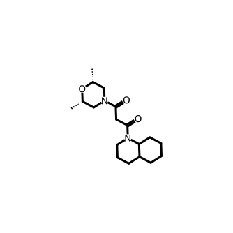 C[C@@H]1CN(C(=O)CC(=O)N2CCCC3CCCCC32)C[C@H](C)O1